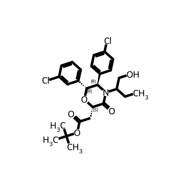 CCC(CO)N1C(=O)[C@H](CC(=O)OC(C)(C)C)O[C@H](c2cccc(Cl)c2)[C@H]1c1ccc(Cl)cc1